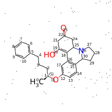 C[C@@H](CCCc1ccccc1)Oc1ccc2c(c1)C1=C(O)CC(=O)CC1N1CCCC21